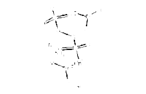 N.N.O=S(=O)([O-])OOS(=O)(=O)[O-].[Ba+2].[O-][Br+2]([O-])O.[O-][Br+2]([O-])O